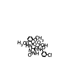 COc1cccc(OC)c1C(=O)Nc1nc(=O)[nH]cc1CC(NC(=O)c1cccc(Cl)c1)C(=O)O